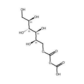 O=C(O)OC(=O)OC[C@@H](O)[C@H](O)[C@H](O)[C@H](O)CO